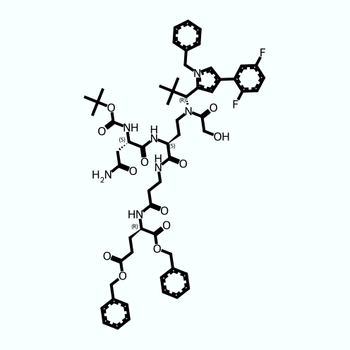 CC(C)(C)OC(=O)N[C@@H](CC(N)=O)C(=O)N[C@@H](CCN(C(=O)CO)[C@@H](c1cc(-c2cc(F)ccc2F)cn1Cc1ccccc1)C(C)(C)C)C(=O)NCCC(=O)N[C@H](CCC(=O)OCc1ccccc1)C(=O)OCc1ccccc1